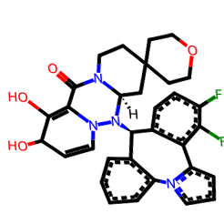 O=C1C2=C(O)C(O)C=CN2N([C@@H]2c3ccccc3-n3cccc3-c3c2ccc(F)c3F)[C@@H]2CC3(CCOCC3)CCN12